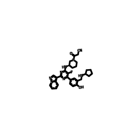 N#CCC(=O)N1CCC[C@@H](Nc2nc(-c3cnn4ccccc34)nc(-c3ccc(O)c(CNC4CCCC4)c3)c2F)C1